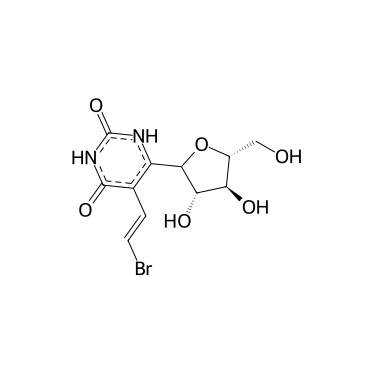 O=c1[nH]c(C2O[C@H](CO)[C@@H](O)[C@@H]2O)c(/C=C/Br)c(=O)[nH]1